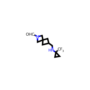 O=CN1CC2(CC(CNC3(C(F)(F)F)CC3)C2)C1